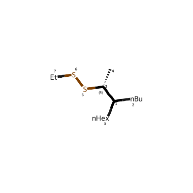 CCCCCCC(CCCC)[C@@H](C)SSCC